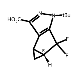 CC(C)(C)n1nc(C(=O)O)c2c1C(F)(F)[C@@H]1CC21